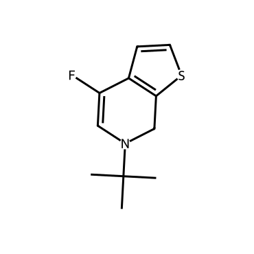 CC(C)(C)N1C=C(F)c2ccsc2C1